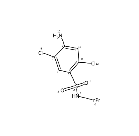 CCCNS(=O)(=O)c1cc(Cl)c(N)cc1Cl